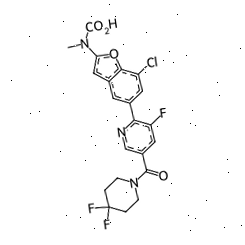 CN(C(=O)O)c1cc2cc(-c3ncc(C(=O)N4CCC(F)(F)CC4)cc3F)cc(Cl)c2o1